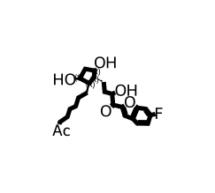 CC(=O)CCCCCC[C@@H]1[C@@H](CCC(O)C(=O)c2cc3ccc(F)cc3o2)[C@H](O)C[C@@H]1O